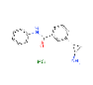 Cl.N[C@@H]1C[C@H]1c1cccc(C(=O)Nc2ccccc2)c1